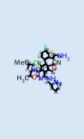 CO[C@@H]1C[C@@H]([C@H](C)Oc2nc(NCc3cccnn3)c3c4c(c(-c5ccc(F)c6sc(N)c(C#N)c56)c(Cl)c3n2)COC4)N(C)C1